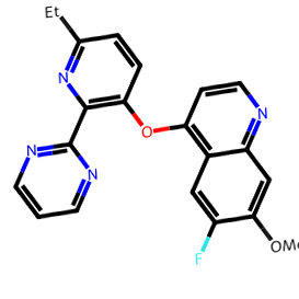 CCc1ccc(Oc2ccnc3cc(OC)c(F)cc23)c(-c2ncccn2)n1